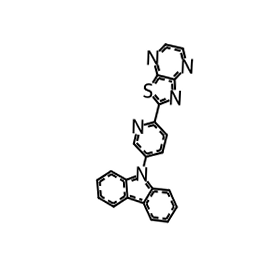 c1ccc2c(c1)c1ccccc1n2-c1ccc(-c2nc3nccnc3s2)nc1